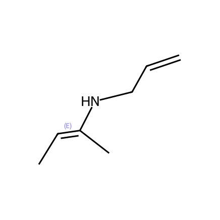 C=CCN/C(C)=C/C